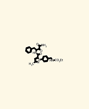 CCOC(=O)NCc1ccc(-n2nc(C)cc2C(=O)NC(Cc2ccccc2)C(=O)C(N)=O)cc1